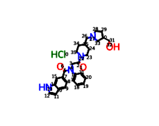 Cl.O=C(CN(C(=O)c1ccc2cc[nH]c2c1)c1ccccc1)N1CCC(CN2CC[C@@H](CO)C2)CC1